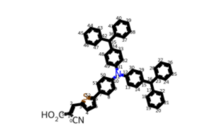 N#C/C(=C\c1ccc(-c2ccc(N(c3ccc(C(c4ccccc4)c4ccccc4)cc3)c3ccc(C(c4ccccc4)c4ccccc4)cc3)cc2)s1)C(=O)O